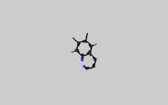 Cc1c(C)c(O)c2ncccc2c1O